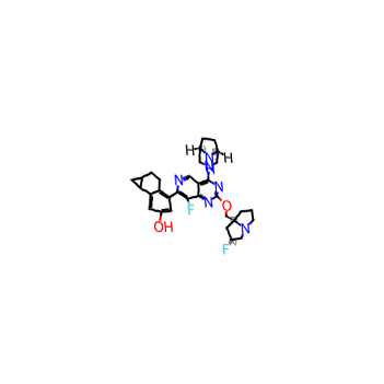 Oc1cc(-c2ncc3c(N4C[C@H]5CC[C@@H](C4)N5)nc(OC[C@@]45CCCN4C[C@H](F)C5)nc3c2F)c2c(c1)C1CC1CC2